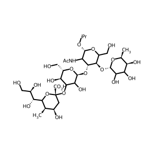 CC(=O)NC1[C@H](OC(C)C)OC(CO)[C@@H](O[C@@H]2O[C@@H](C)[C@@H](O)C(O)C2O)[C@@H]1O[C@@H]1O[C@@H](CO)[C@H](O)C(O[C@]2(C(=O)O)C[C@@H](O)[C@@H](C)C([C@H](O)[C@H](O)CO)O2)C1O